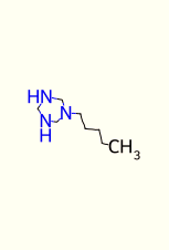 CCCCCN1CNCNC1